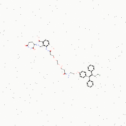 CN(CCOc1ccc(/C(=C(/CCCl)c2ccccc2)c2ccccc2)cc1)C(=O)CCOCCOCCC(=O)Nc1cccc2c1CN(C1CCC(=O)NC1=O)C2=O